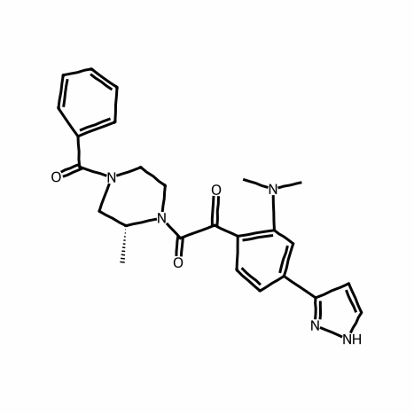 C[C@@H]1CN(C(=O)c2ccccc2)CCN1C(=O)C(=O)c1ccc(-c2cc[nH]n2)cc1N(C)C